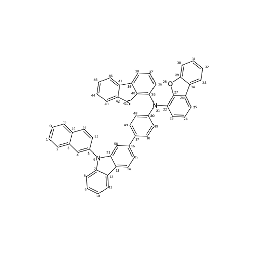 c1ccc2cc(-n3c4ccccc4c4ccc(-c5ccc(N(c6cccc7c6oc6ccccc67)c6cccc7c6sc6ccccc67)cc5)cc43)ccc2c1